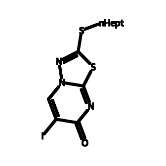 CCCCCCCSc1nn2cc(I)c(=O)nc2s1